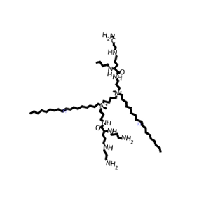 CCCCCCCC/C=C/CCCCCCCC[N+](C)(CCCC[N+](C)(CCCCCCCC/C=C/CCCCCCCC)CCCNC(=O)C(CCCNCCCN)NCCCN)CCCNC(=O)C(CCCNCCCN)NCCCC